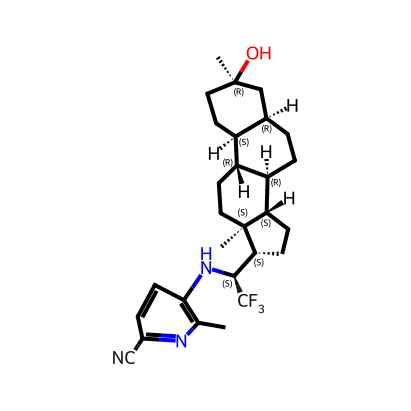 Cc1nc(C#N)ccc1N[C@@H]([C@H]1CC[C@H]2[C@@H]3CC[C@@H]4C[C@](C)(O)CC[C@@H]4[C@H]3CC[C@]12C)C(F)(F)F